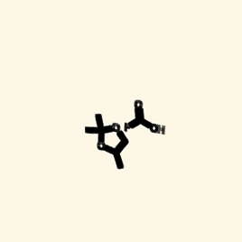 CC1COC(C)(C)O1.O=C(O)F